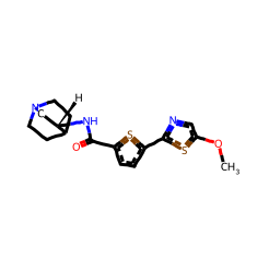 COc1cnc(-c2ccc(C(=O)N[C@H]3CN4CCC3CC4)s2)s1